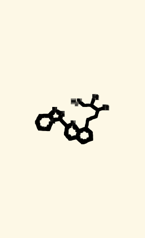 CCC(CCc1cccc2ccc(-c3nnc4ccccn34)nc12)[C@H](CC)CN